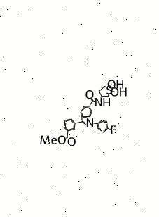 COC(=O)c1cccc(-c2cn(-c3ccc(F)cc3)c3cc(C(=O)NC4CCS(O)(O)C4)ccc23)c1